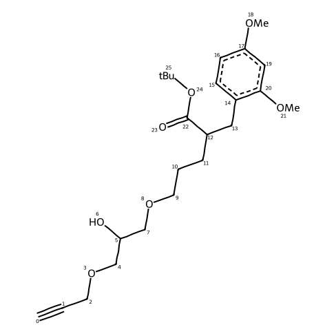 C#CCOCC(O)COCCCC(Cc1ccc(OC)cc1OC)C(=O)OC(C)(C)C